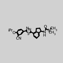 CC(C)Oc1ccc(-c2nnc(-c3cccc4c3CCC4NC(=O)N(C)C)s2)cc1C#N